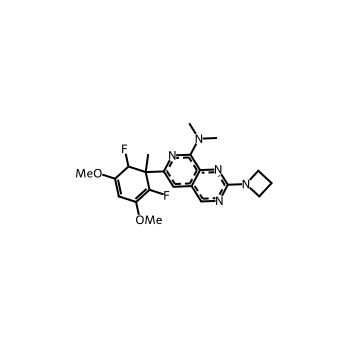 COC1=CC(OC)=C(F)C(C)(c2cc3cnc(N4CCC4)nc3c(N(C)C)n2)C1F